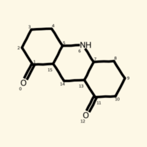 O=C1CCCC2NC3CCCC(=O)C3CC12